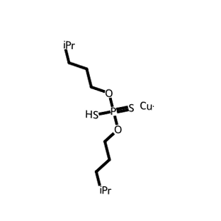 CC(C)CCCOP(=S)(S)OCCCC(C)C.[Cu]